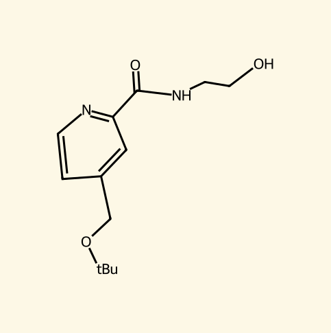 CC(C)(C)OCc1ccnc(C(=O)NCCO)c1